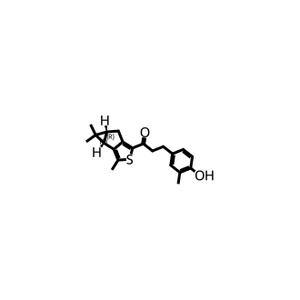 Cc1cc(CCC(=O)c2sc(C)c3c2C[C@@H]2[C@H]3C2(C)C)ccc1O